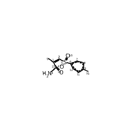 CC(=CS(=O)(=O)c1ccc(C)cc1)C(N)=O